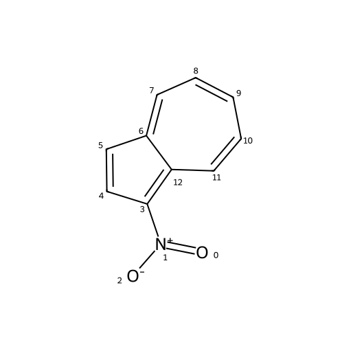 O=[N+]([O-])c1ccc2cccccc1-2